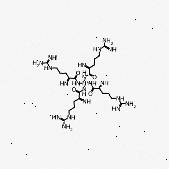 N=C(N)NCCCC(=N)C(=O)N[N+](NC(=O)C(=N)CCCNC(=N)N)(NC(=O)C(=N)CCCNC(=N)N)NC(=O)C(=N)CCCNC(=N)N